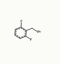 CC(C)[CH]c1c(F)cccc1F